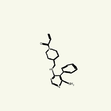 C=CC(=O)N1CCC(CNc2ncnc(N)c2-c2ccccc2)CC1